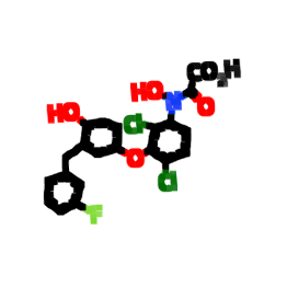 O=C(O)C(=O)N(O)c1ccc(Cl)c(Oc2ccc(O)c(Cc3cccc(F)c3)c2)c1Cl